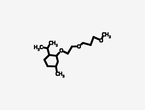 COCCCOCCOC1CC(C)CCC1C(C)C